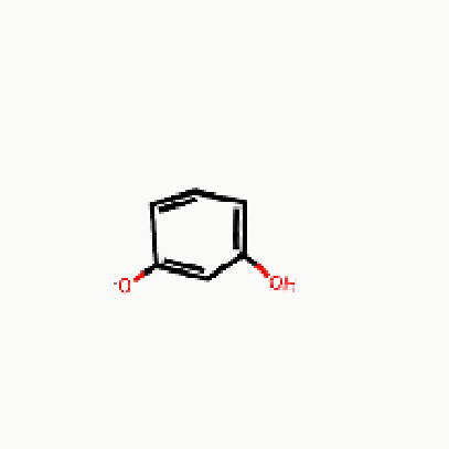 [O]c1cccc(O)c1